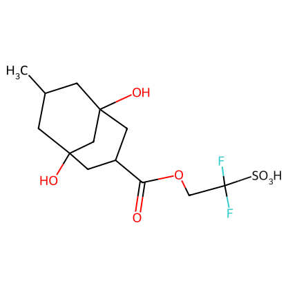 CC1CC2(O)CC(C(=O)OCC(F)(F)S(=O)(=O)O)CC(O)(C1)C2